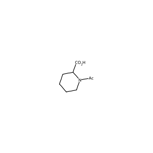 CC(=O)N1CCCCC1C(=O)O